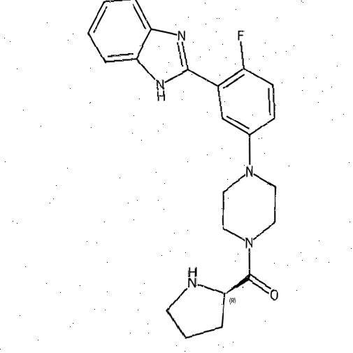 O=C([C@H]1CCCN1)N1CCN(c2ccc(F)c(-c3nc4ccccc4[nH]3)c2)CC1